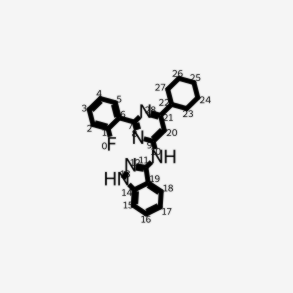 Fc1ccccc1-c1nc(Nc2n[nH]c3ccccc23)cc(C2CCCCC2)n1